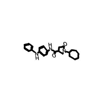 O=C(Nc1ccc(Nc2ccccc2)cc1)C1CC(=O)N(C2CCCCCC2)C1